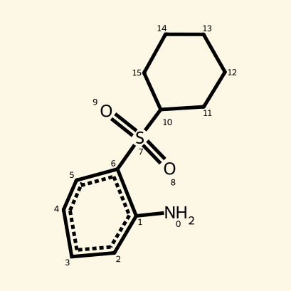 Nc1ccccc1S(=O)(=O)C1CCCCC1